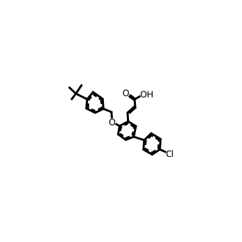 CC(C)(C)c1ccc(COc2ccc(-c3ccc(Cl)cc3)cc2/C=C/C(=O)O)cc1